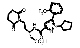 O=C(O)C[C@H](CCN1C(=O)CCCC1=O)NC(=O)c1cc(-c2ccccc2C(F)(F)F)n(C2CCCC2)n1